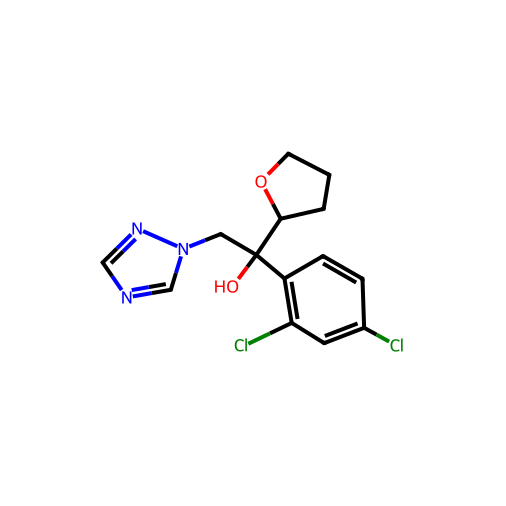 OC(Cn1cncn1)(c1ccc(Cl)cc1Cl)C1CCCO1